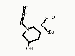 CC(C)(C)OC=O.[N-]=[N+]=NN1CCCC(O)C1